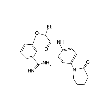 CCC(Oc1cccc(C(=N)N)c1)C(=O)Nc1ccc(N2CCCCC2=O)cc1